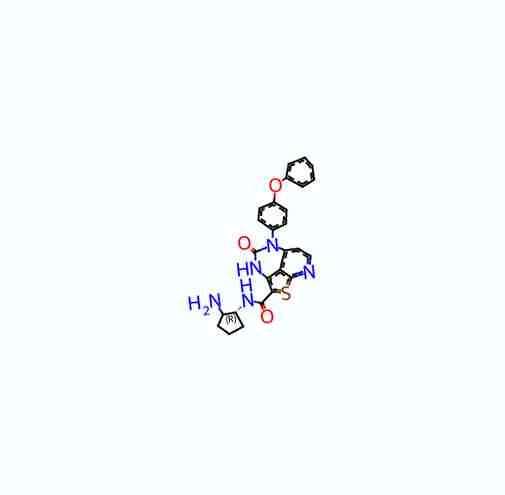 NC1CCC[C@H]1NC(=O)c1sc2nccc3c2c1NC(=O)N3c1ccc(Oc2ccccc2)cc1